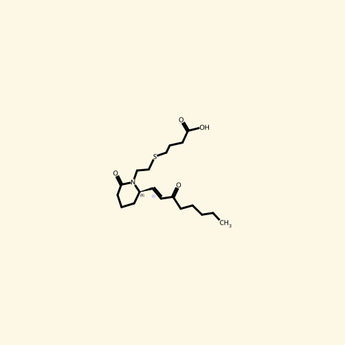 CCCCCC(=O)/C=C/[C@H]1CCCC(=O)N1CCSCCCC(=O)O